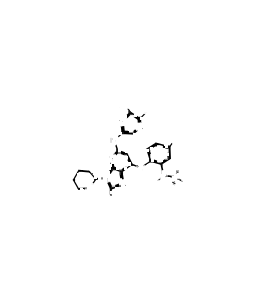 Cc1ccc(Nc2cc(Nc3cnc(C)c(C)n3)nc3c2nc(C)n3C2CCCCO2)c(N(C)S(C)(=O)=O)c1